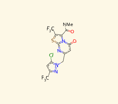 CNC(=O)c1c(C(F)(F)F)sc2nc(Cn3nc(C(F)(F)F)cc3Cl)cc(=O)n12